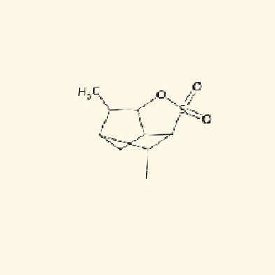 CC1C2CC3C1OS(=O)(=O)C3C2I